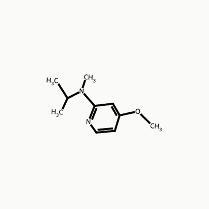 COc1ccnc(N(C)C(C)C)c1